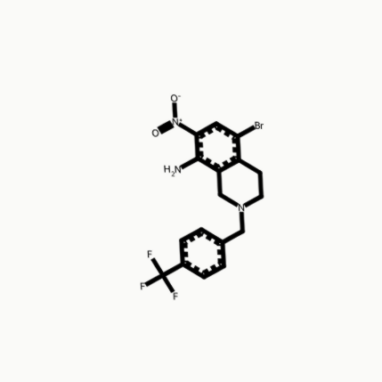 Nc1c([N+](=O)[O-])cc(Br)c2c1CN(Cc1ccc(C(F)(F)F)cc1)CC2